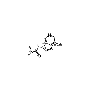 CN(C)C(=O)Cn1ccc2c(Br)nncc21